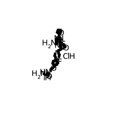 CC(C)C(N)C(=O)NCCOc1ccc(N2CCN(CCn3c(=O)sc4c3nc(N)n3nc(-c5ccco5)nc43)CC2)c(F)c1.Cl